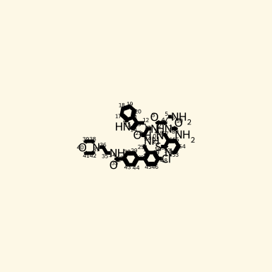 CN(C(=O)[C@H](CN)NC(N)=O)[C@@H](Cc1c[nH]c2ccccc12)C(=O)NCc1c(-c2ccc(C(=O)NCCN3CCOCC3)cc2)ccc(Cl)c1Sc1ncccc1CN